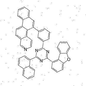 c1cc(-c2nc(-c3cccc4ccccc34)nc(-c3cccc4oc5ccccc5c34)n2)cc(-c2cc3ccccc3c3ccc4cnccc4c23)c1